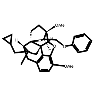 COc1ccc2c3c1O[C@H]1[C@@]4(OC)CC[C@@]5(C[C@@H]4COc4ccccc4)[C@@H](C2)C(C)(CC2CC2)CC[C@]315